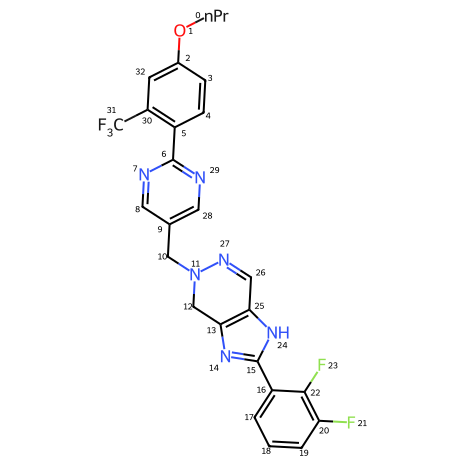 CCCOc1ccc(-c2ncc(CN3Cc4nc(-c5cccc(F)c5F)[nH]c4C=N3)cn2)c(C(F)(F)F)c1